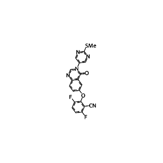 CSc1ncc(-n2cnc3ccc(Oc4c(F)ccc(F)c4C#N)cc3c2=O)cn1